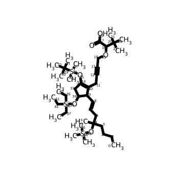 CCCCC(C)(C/C=C/C1C(CC#CCOC(C(=O)O)C(C)(C)C)=C(O[Si](C)(C)C(C)(C)C)CC1O[Si](CC)(CC)CC)O[Si](C)(C)C